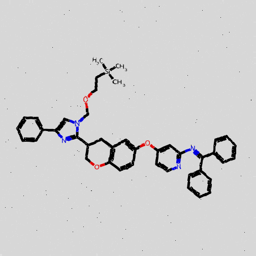 C[Si](C)(C)CCOCn1cc(-c2ccccc2)nc1C1COc2ccc(Oc3ccnc(N=C(c4ccccc4)c4ccccc4)c3)cc2C1